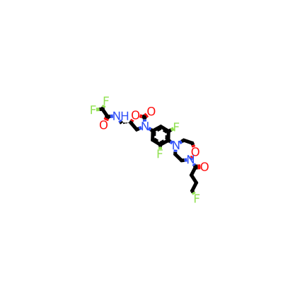 O=C(NC[C@H]1CN(c2cc(F)c(N3CCON(C(=O)CCCF)CC3)c(F)c2)C(=O)O1)C(F)F